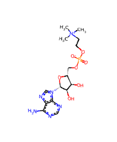 C[N+](C)(C)CCOP(=O)([O-])OC[C@H]1O[C@@H](n2cnc3c(N)ncnc32)[C@H](O)[C@@H]1O